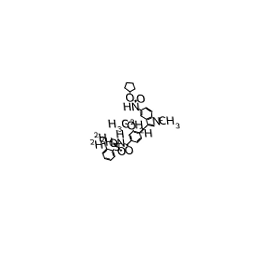 [2H]C([2H])([2H])c1ccccc1S(=O)(=O)NC(=O)c1ccc(C([2H])([2H])c2cn(C)c3ccc(NC(=O)OC4CCCC4)cc23)c(OC)c1